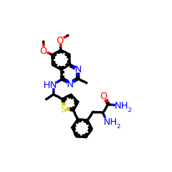 COc1cc2nc(C)nc(NC(C)c3ccc(-c4ccccc4CC(N)C(N)=O)s3)c2cc1OC